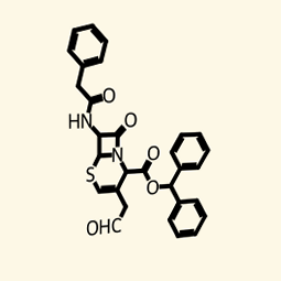 O=CCC1=CSC2C(NC(=O)Cc3ccccc3)C(=O)N2C1C(=O)OC(c1ccccc1)c1ccccc1